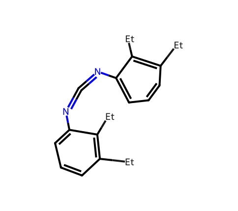 CCc1cccc(N=C=Nc2cccc(CC)c2CC)c1CC